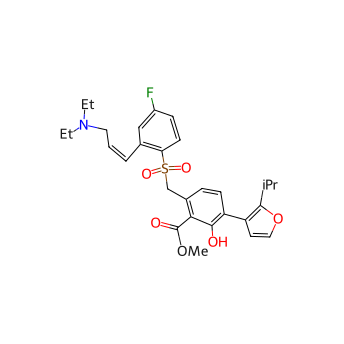 CCN(CC)C/C=C\c1cc(F)ccc1S(=O)(=O)Cc1ccc(-c2ccoc2C(C)C)c(O)c1C(=O)OC